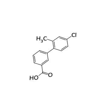 Cc1cc(Cl)ccc1-c1cccc(C(=O)O)c1